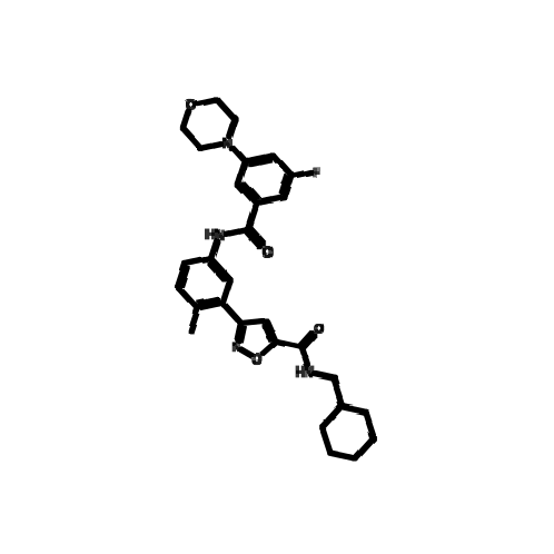 Cc1ccc(NC(=O)c2cc(F)cc(N3CCOCC3)c2)cc1-c1cc(C(=O)NCC2CCCCC2)on1